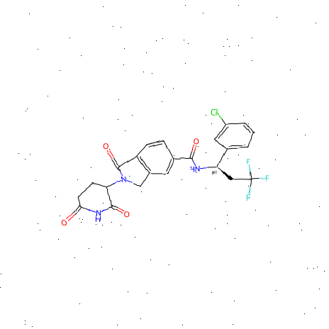 O=C1CCC(N2Cc3cc(C(=O)N[C@H](CC(F)(F)F)c4cccc(Cl)c4)ccc3C2=O)C(=O)N1